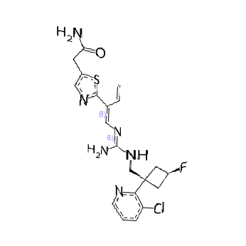 C=C/C(=C\N=C(/N)NC[C@]1(c2ncccc2Cl)C[C@H](F)C1)c1ncc(CC(N)=O)s1